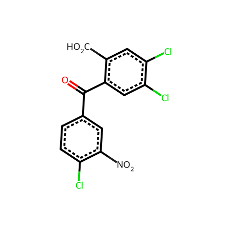 O=C(O)c1cc(Cl)c(Cl)cc1C(=O)c1ccc(Cl)c([N+](=O)[O-])c1